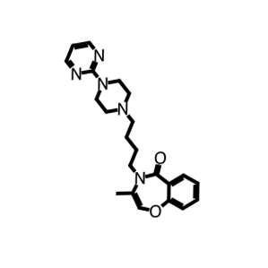 CC1=COc2ccccc2C(=O)N1CCCCN1CCN(c2ncccn2)CC1